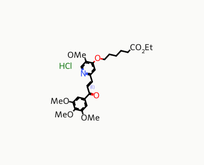 CCOC(=O)CCCCCOc1cc(/C=C/C(=O)c2cc(OC)c(OC)c(OC)c2)ncc1OC.Cl